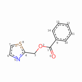 O=C(OCc1nccs1)c1ccccc1